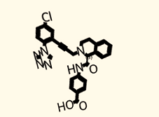 O=C(O)c1ccc(NC(=O)[C@@H]2c3ccccc3CCN2CC#Cc2cc(Cl)ccc2-n2cnnn2)cc1